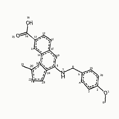 COc1ccc(CNc2nc3ccc(C(=O)O)cc3n3c(C)ncc23)cc1